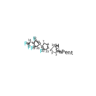 CCCCC[Si@H]1CC[C@H](c2ccc(-c3cc(F)c(C=C(F)F)c(F)c3)c(F)c2)CC1